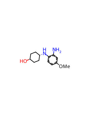 COc1ccc(N[C@H]2CC[C@H](O)CC2)c(N)c1